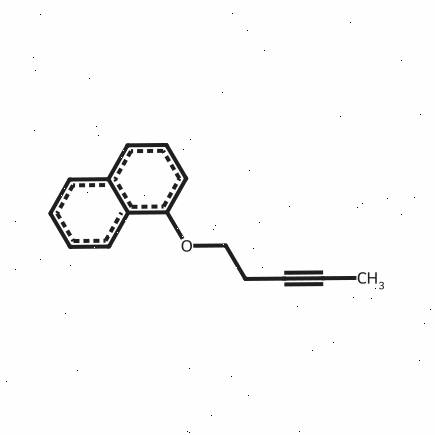 CC#CCCOc1cccc2ccccc12